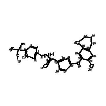 O=C(Nc1ccc(C(F)(F)F)nc1)c1ccc(Oc2cc3c(cc2Cl)CCCO3)cc1